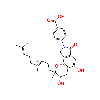 CC(C)=CCC/C(C)=C/CCC1(C)Oc2c(c(O)cc3c2CN(c2ccc(C(=O)O)cc2)C3=O)CC1O